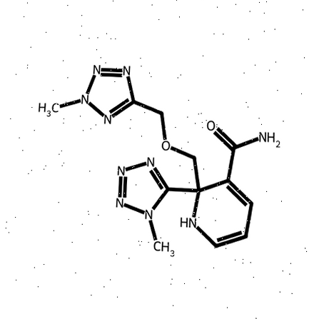 Cn1nnc(COCC2(c3nnnn3C)NC=CC=C2C(N)=O)n1